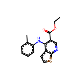 CCOC(=O)c1cnc2sccc2c1Nc1ccccc1C